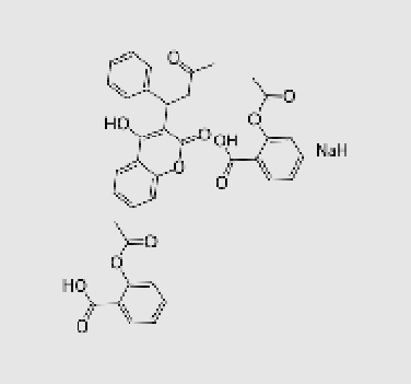 CC(=O)CC(c1ccccc1)c1c(O)c2ccccc2oc1=O.CC(=O)Oc1ccccc1C(=O)O.CC(=O)Oc1ccccc1C(=O)O.[NaH]